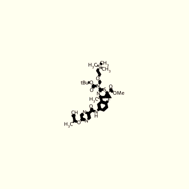 C#C[C@H](C)Oc1cnc(C(=O)Nc2ccc(F)c([C@@]3(C)N=C(N(COCC[Si](C)(C)C)C(=O)OC(C)(C)C)S[C@@]4(C(=O)OC)CC43)c2)cn1